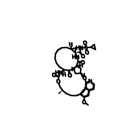 COc1cc2ccnc3c2cc1CCC[C@H](C)COC(=O)N[C@H]1CCCCCCC[C@@H]2C[C@@]2(C(=O)NS(=O)(=O)C2CC2)NC(=O)[C@@H]2C[C@H](CN2C1=O)O3